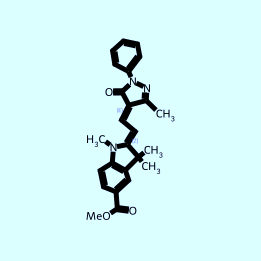 COC(=O)c1ccc2c(c1)C(C)(C)/C(=C/C=C1/C(=O)N(c3ccccc3)N=C1C)N2C